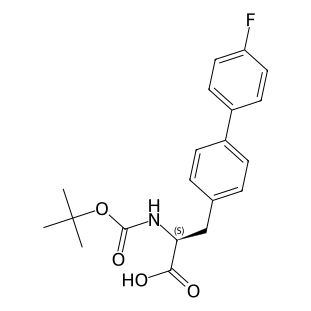 CC(C)(C)OC(=O)N[C@@H](Cc1ccc(-c2ccc(F)cc2)cc1)C(=O)O